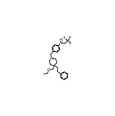 CCOCC1(CCc2ccccc2)CCN(Cc2ccc(NCC(F)(F)F)cc2)CC1